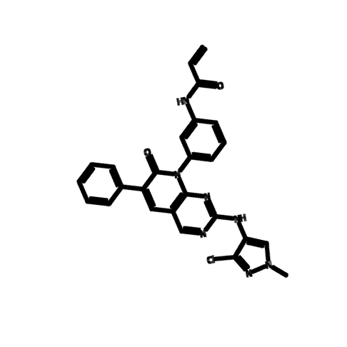 C=CC(=O)Nc1cccc(-n2c(=O)c(-c3ccccc3)cc3cnc(Nc4cn(C)nc4Cl)nc32)c1